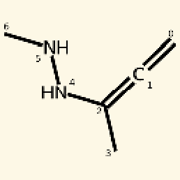 C=C=C(C)NNC